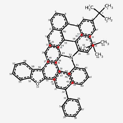 CC(C)(C)c1cc(-c2cccc3cccc(-c4ccccc4N(c4ccccc4-c4ccc(-c5ccccc5)cc4)c4ccccc4-c4ccc5c(c4)oc4ccccc45)c23)cc(C(C)(C)C)c1